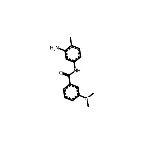 Cc1ccc(NC(=O)c2cccc(N(C)C)c2)cc1N